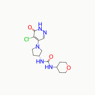 O=C(NC1CCOCC1)N[C@@H]1CCN(c2cn[nH]c(=O)c2Cl)C1